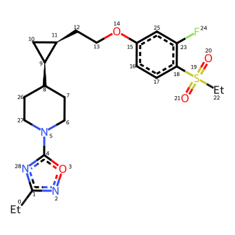 CCc1noc(N2CCC([C@H]3C[C@H]3CCOc3ccc(S(=O)(=O)CC)c(F)c3)CC2)n1